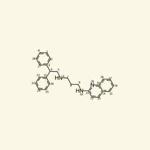 c1ccc(C(CNCCCNc2ccc3ccccc3n2)c2ccccc2)cc1